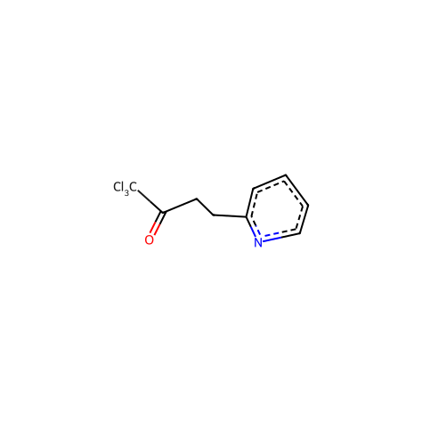 O=C(CCc1ccccn1)C(Cl)(Cl)Cl